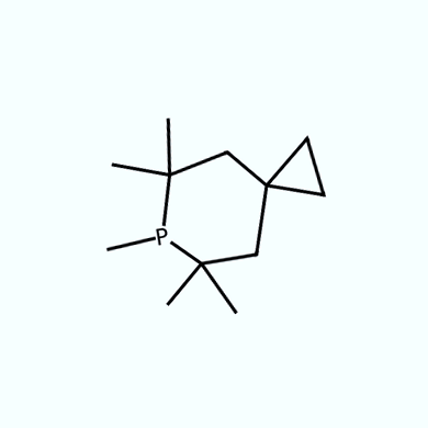 CP1C(C)(C)CC2(CC2)CC1(C)C